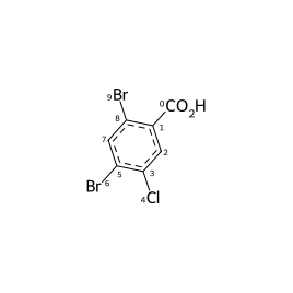 O=C(O)c1cc(Cl)c(Br)cc1Br